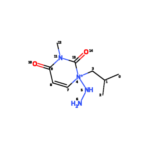 CC(C)C[N+]1(NN)C=CC(=O)N(C)C1=O